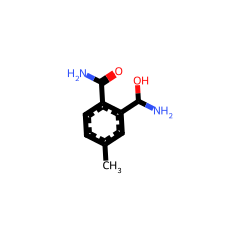 Cc1ccc(C(N)=O)c(C(N)O)c1